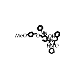 C=CC(C(=O)NC(Cc1ccccc1)C(=O)NC1CCCCC1)[C@H](O)c1cc(OCc2ccc(OC)cc2)n(-c2ccccc2)n1